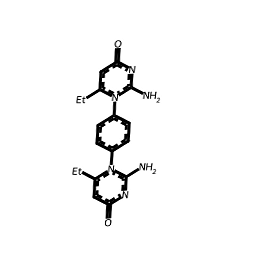 CCc1cc(=O)nc(N)n1-c1ccc(-n2c(CC)cc(=O)nc2N)cc1